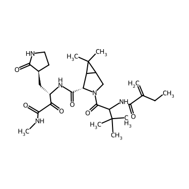 C=C(CC)C(=O)NC(C(=O)N1CC2C([C@H]1C(=O)N[C@@H](C[C@@H]1CCNC1=O)C(=O)C(=O)NC)C2(C)C)C(C)(C)C